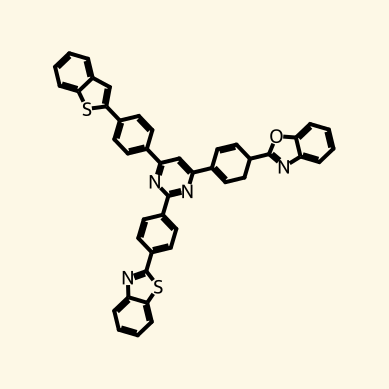 C1=CC(c2nc3ccccc3o2)CC=C1c1cc(-c2ccc(-c3cc4ccccc4s3)cc2)nc(-c2ccc(-c3nc4ccccc4s3)cc2)n1